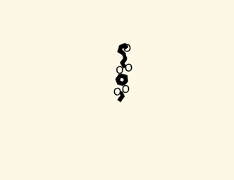 C=CC(=O)Oc1ccc(OC(=O)/C=C/c2ccco2)cc1